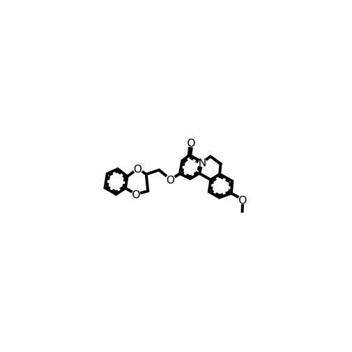 COc1ccc2c(c1)CCn1c-2cc(OCC2COc3ccccc3O2)cc1=O